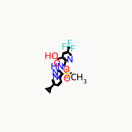 CCS(=O)(=O)c1c(NCc2ncc(C(F)(F)F)cc2C(=O)O)nn2cc(C3CC3)ccc12